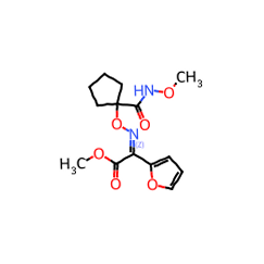 CONC(=O)C1(O/N=C(\C(=O)OC)c2ccco2)CCCC1